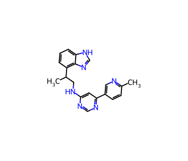 Cc1ccc(-c2cc(NCC(C)c3cccc4[nH]cnc34)ncn2)cn1